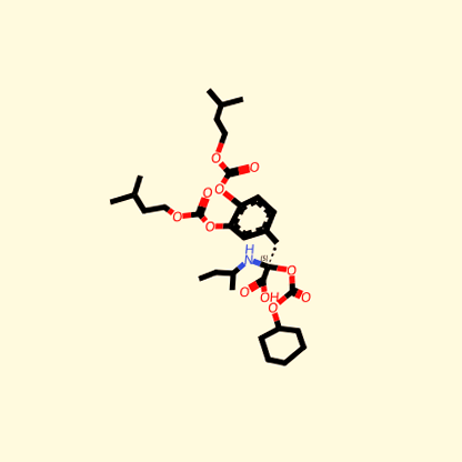 CCC(C)N[C@@](Cc1ccc(OC(=O)OCCC(C)C)c(OC(=O)OCCC(C)C)c1)(OC(=O)OC1CCCCC1)C(=O)O